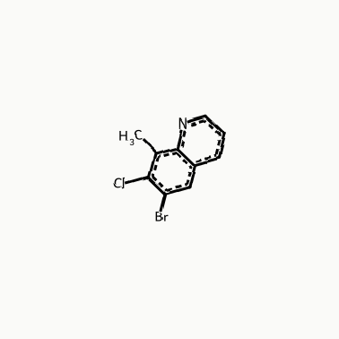 Cc1c(Cl)c(Br)cc2cccnc12